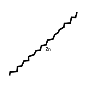 CCCCCCCCCCCCCCCCCCCCCCCC.[Zn]